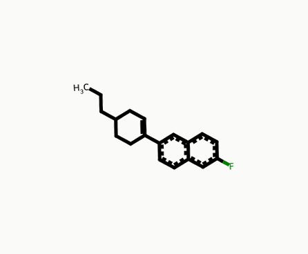 CCCC1CC=C(c2ccc3cc(F)ccc3c2)CC1